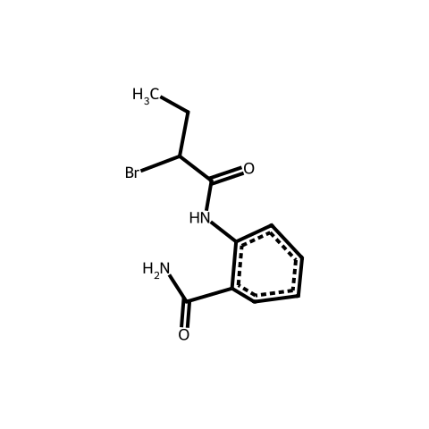 CCC(Br)C(=O)Nc1ccccc1C(N)=O